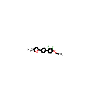 CCOc1ccc(-c2ccc(C3CC=C(C)CO3)cc2)c(F)c1F